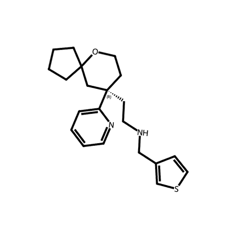 c1ccc([C@]2(CCNCc3ccsc3)CCOC3(CCCC3)C2)nc1